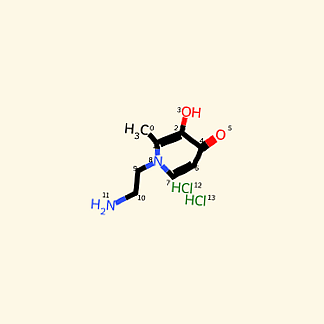 Cc1c(O)c(=O)ccn1CCN.Cl.Cl